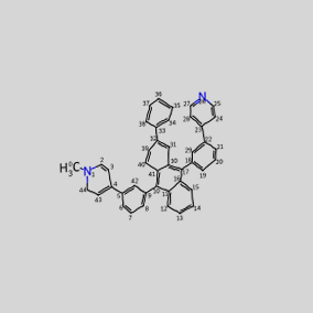 CN1C=CC(c2cccc(-c3c4ccccc4c(-c4cccc(-c5ccncc5)c4)c4cc(-c5ccccc5)ccc34)c2)=CC1